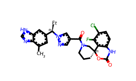 CC[C@H](c1cc(C)c2nc[nH]c2c1)n1cc(C(=O)N2CCC[C@@]3(C2)OC(=O)Nc2ccc(Cl)c(F)c23)cn1